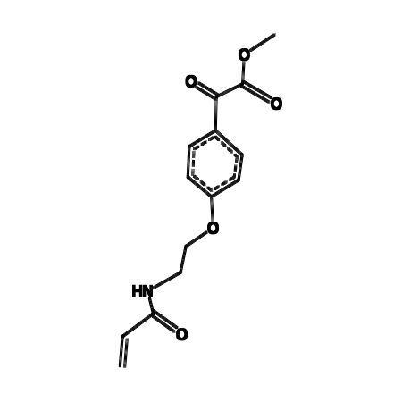 C=CC(=O)NCCOc1ccc(C(=O)C(=O)OC)cc1